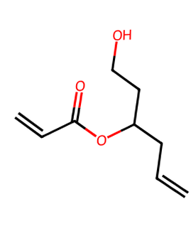 C=CCC(CCO)OC(=O)C=C